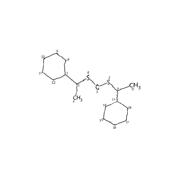 CC(SOSC(C)C1CCCCC1)C1CCCCC1